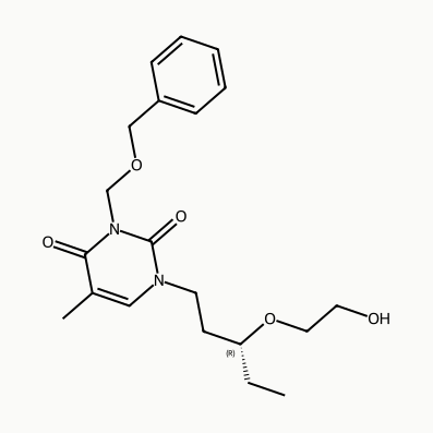 CC[C@H](CCn1cc(C)c(=O)n(COCc2ccccc2)c1=O)OCCO